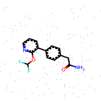 NC(=O)[CH]c1ccc(-c2cccnc2OC(F)F)cc1